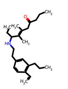 C=Cc1ccc(CCNC(CC)/C(C)=C(\C)CC(=O)CCC)cc1CCC